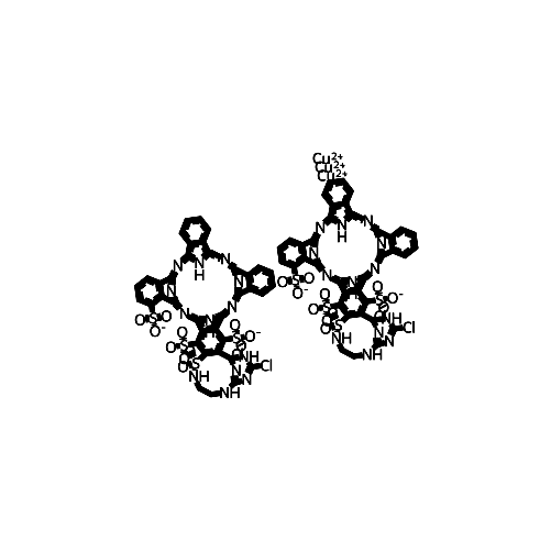 O=S(=O)([O-])c1cccc2c1-c1nc-2nc2[nH]c(nc3nc(nc4[nH]c(n1)c1c(S(=O)(=O)[O-])c5c(c(S(=O)(=O)[O-])c41)C1(Cl)N=C(N=C(Cl)N1)NCCNS5(=O)=O)-c1ccccc1-3)c1ccccc21.O=S(=O)([O-])c1cccc2c1-c1nc-2nc2[nH]c(nc3nc(nc4[nH]c(n1)c1c(S(=O)(=O)[O-])c5c(c(S(=O)(=O)[O-])c41)C1(Cl)N=C(N=C(Cl)N1)NCCNS5(=O)=O)-c1ccccc1-3)c1ccccc21.[Cu+2].[Cu+2].[Cu+2]